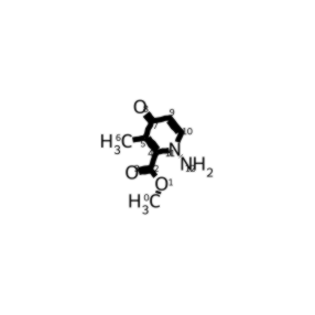 COC(=O)c1c(C)c(=O)ccn1N